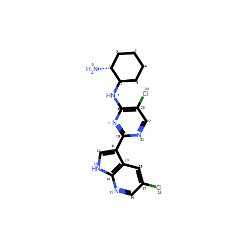 N[C@@H]1CCCCC1Nc1nc(-c2c[nH]c3ncc(Cl)cc23)ncc1Cl